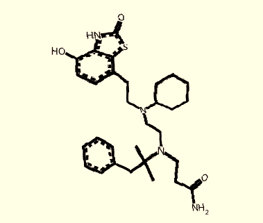 CC(C)(Cc1ccccc1)N(CCC(N)=O)CCN(CCc1ccc(O)c2[nH]c(=O)sc12)C1CCCCC1